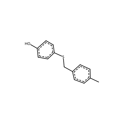 Cc1ccc(CSc2ccc(O)cc2)cc1